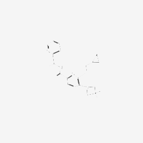 O=C(NC(c1ccccn1)C(F)(F)F)c1ccc(N2CC(F)(F)C2)c(OCC2CC2)n1